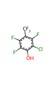 Oc1c(F)c(F)c(C(F)(F)F)c(F)c1Cl